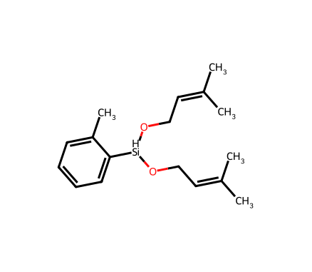 CC(C)=CCO[SiH](OCC=C(C)C)c1ccccc1C